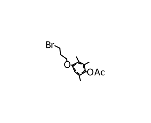 CC(=O)Oc1c(C)cc(OCCCBr)c(C)c1C